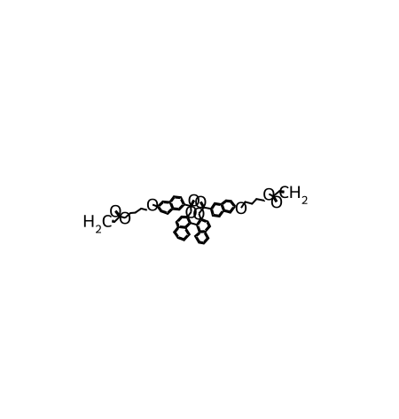 C=CC(=O)OCCCCOc1ccc2cc(C(=O)Oc3ccc4ccccc4c3-c3c(OC(=O)c4ccc5cc(OCCCCOC(=O)C=C)ccc5c4)ccc4ccccc34)ccc2c1